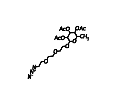 CC(=O)OC1C(C)OC(OCCOCCOCCN=[N+]=[N-])C(OC(C)=O)C1OC(C)=O